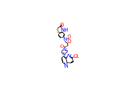 COc1ccc2nccc(N3CCN(C(=O)CC4CN(c5ccc6c(c5)NC(=O)CS6)C(=O)O4)CC3)c2n1